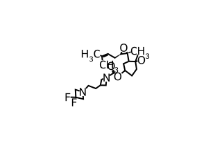 CC(C)=CC[C@H]1O[C@]1(C)C1CC(OC(=O)N2CC(CCN3CC(F)(F)C3)C2)CCC12CO2